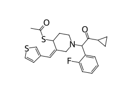 CC(=O)SC1CCN(C(C(=O)C2CC2)c2ccccc2F)CC1=Cc1ccsc1